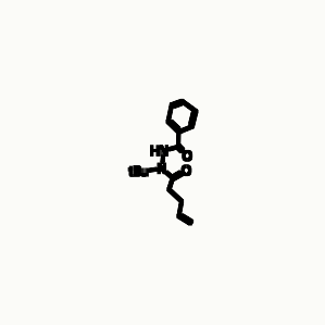 C=CCCC(=O)N(NC(=O)c1ccccc1)C(C)(C)C